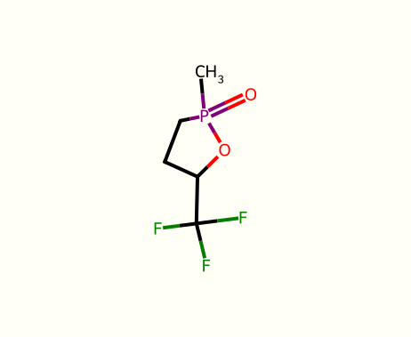 CP1(=O)CCC(C(F)(F)F)O1